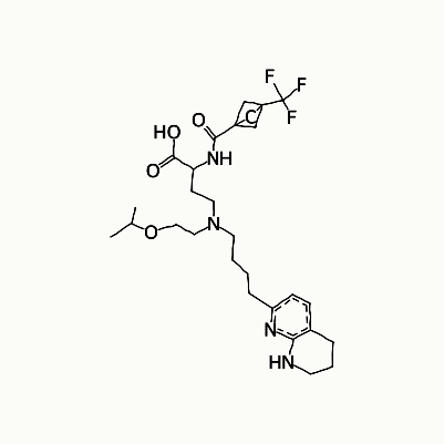 CC(C)OCCN(CCCCc1ccc2c(n1)NCCC2)CCC(NC(=O)C12CC(C(F)(F)F)(C1)C2)C(=O)O